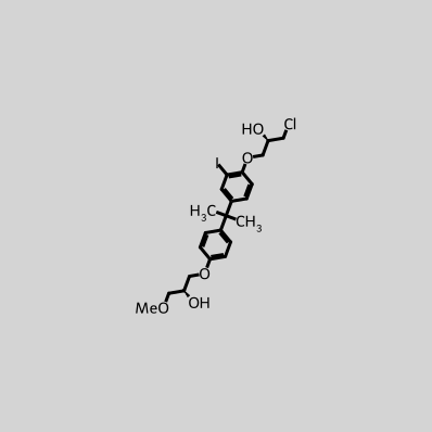 COC[C@H](O)COc1ccc(C(C)(C)c2ccc(OC[C@@H](O)CCl)c(I)c2)cc1